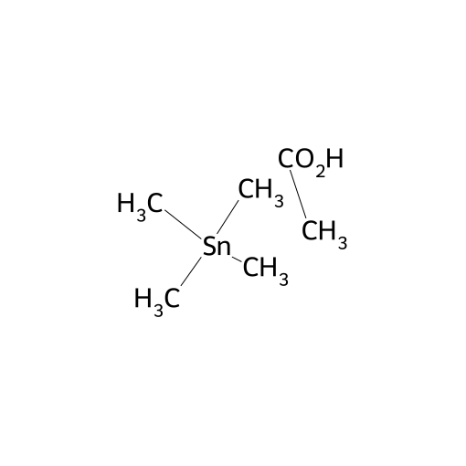 CC(=O)O.[CH3][Sn]([CH3])([CH3])[CH3]